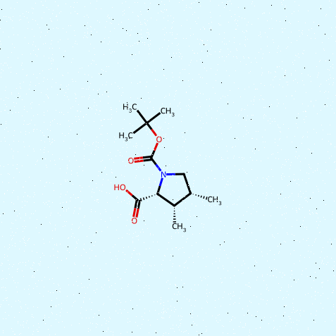 C[C@H]1[C@@H](C)CN(C(=O)OC(C)(C)C)[C@H]1C(=O)O